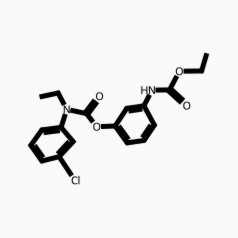 CCOC(=O)Nc1cccc(OC(=O)N(CC)c2cccc(Cl)c2)c1